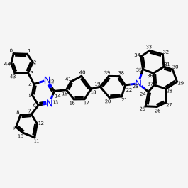 c1ccc(-c2cc(-c3ccccc3)nc(-c3ccc(-c4ccc(-n5c6cccc7ccc8cccc5c8c76)cc4)cc3)n2)cc1